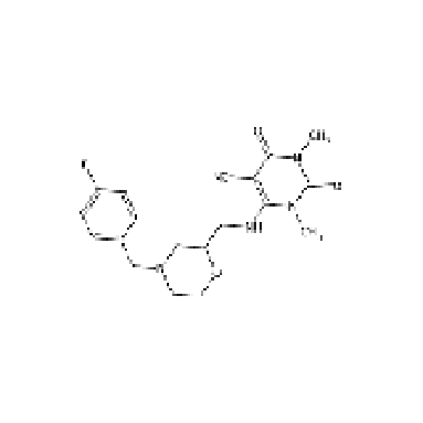 Cn1c(NCC2CN(Cc3ccc(F)cc3)CCO2)c(C#N)c(=O)n(C)c1=O